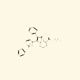 COC(=O)C1CCCn2c(-c3ccnc(Oc4ccccc4)n3)c(-c3ccc(F)cc3)c(=O)n21